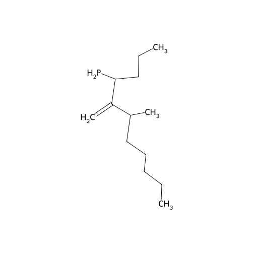 C=C(C(C)CCCCC)C(P)CCC